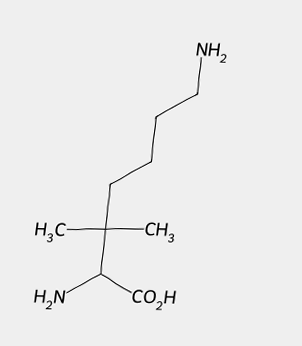 CC(C)(CCCCN)C(N)C(=O)O